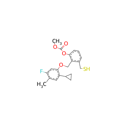 COC(=O)Oc1cccc(CS)c1COc1cc(F)c(C)cc1C1CC1